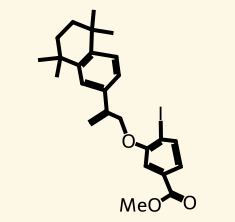 C=C(COc1cc(C(=O)OC)ccc1I)c1ccc2c(c1)C(C)(C)CCC2(C)C